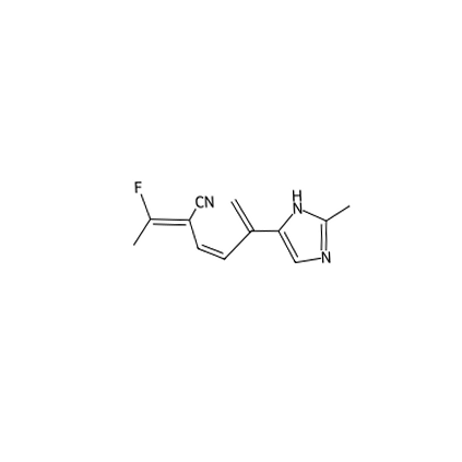 C=C(/C=C\C(C#N)=C(/C)F)c1cnc(C)[nH]1